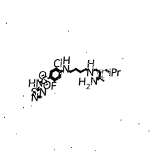 CC(C)C[C@@H](CNCCCCNc1cc(F)c(S(=O)(=O)Nc2ncns2)cc1Cl)[C@@H](C)N